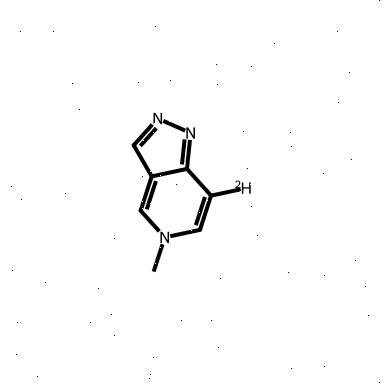 [2H]c1cn(C)cc2cnnc1-2